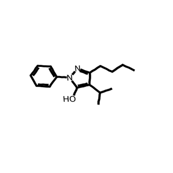 CCCCc1nn(-c2ccccc2)c(O)c1C(C)C